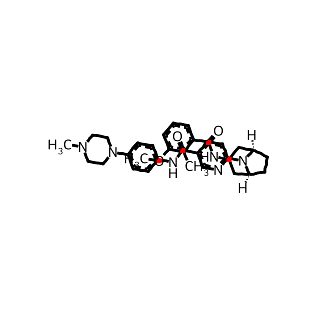 COc1cccc(C(=O)N[C@H]2C[C@H]3CC[C@@H](C2)N3c2ccc(C(=O)Nc3ccc(N4CCN(C)CC4)cc3)cn2)c1C